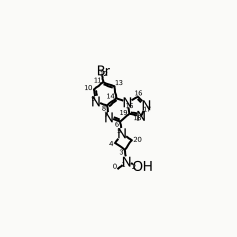 CN(O)C1CN(c2nc3ncc(Br)cc3n3cnnc23)C1